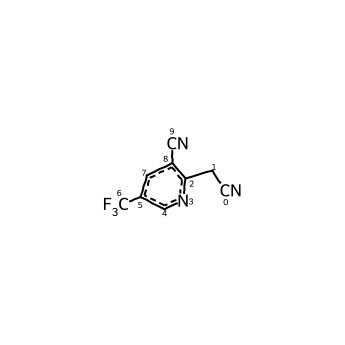 N#CCc1ncc(C(F)(F)F)cc1C#N